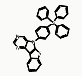 c1ccc([Si](c2ccccc2)(c2ccccc2)c2ccc(-n3c4cncnc4c4c5ccccc5sc43)cc2)cc1